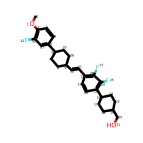 COc1ccc(C2CCC(/C=C/c3ccc(C4CCC(CO)CC4)c(F)c3F)CC2)cc1F